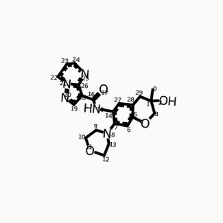 CC1(O)COc2cc(N3CCOCC3)c(NC(=O)c3cnn4cccnc34)cc2C1